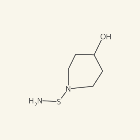 NSN1CCC(O)CC1